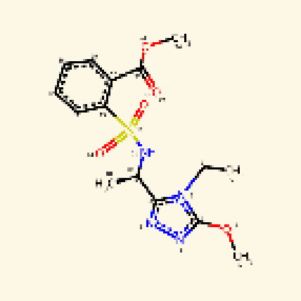 CCn1c(OC)nnc1[C@@H](C)NS(=O)(=O)c1ccccc1C(=O)OC